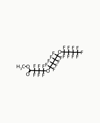 COC(=O)C(F)(F)C(F)(F)C(F)(F)OC(F)(F)C(F)(F)C(F)(F)C(F)(F)OC(F)(F)C(F)(F)C(F)(F)C(F)(F)F